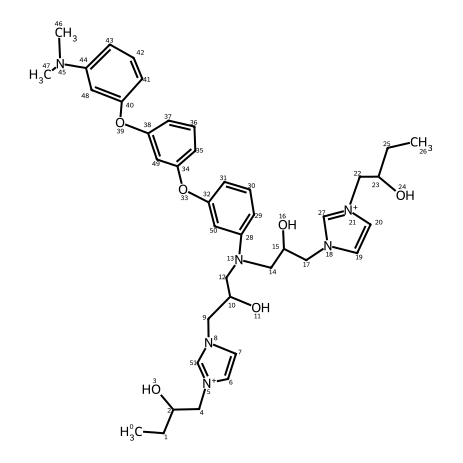 CCC(O)C[n+]1ccn(CC(O)CN(CC(O)Cn2cc[n+](CC(O)CC)c2)c2cccc(Oc3cccc(Oc4cccc(N(C)C)c4)c3)c2)c1